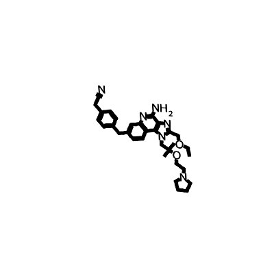 CCOCc1nc2c(N)nc3cc(Cc4ccc(CC#N)cc4)ccc3c2n1CC(C)(C)OCCN1CCCC1